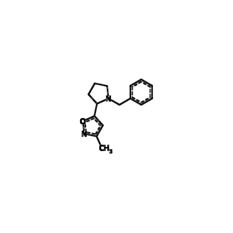 Cc1cc(C2CCCN2Cc2ccccc2)on1